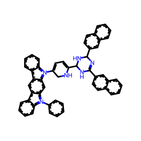 C1=C(C2NC(c3ccc4ccccc4c3)=NC(c3ccc4ccccc4c3)N2)NCC(n2c3ccccc3c3cc4c5ccccc5n(-c5ccccc5)c4cc32)=C1